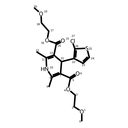 COCCOC(=O)C1=C(C)NC(C)=C(C(=O)OCCOC)C1c1ccsc1Cl